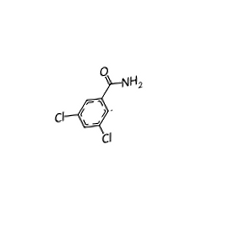 NC(=O)c1[c]c(Cl)cc(Cl)c1